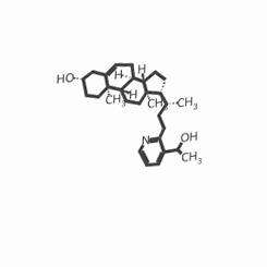 CC(O)c1cccnc1CC[C@@H](C)[C@H]1CC[C@H]2[C@@H]3CC=C4C[C@@H](O)CC[C@]4(C)[C@H]3CC[C@]12C